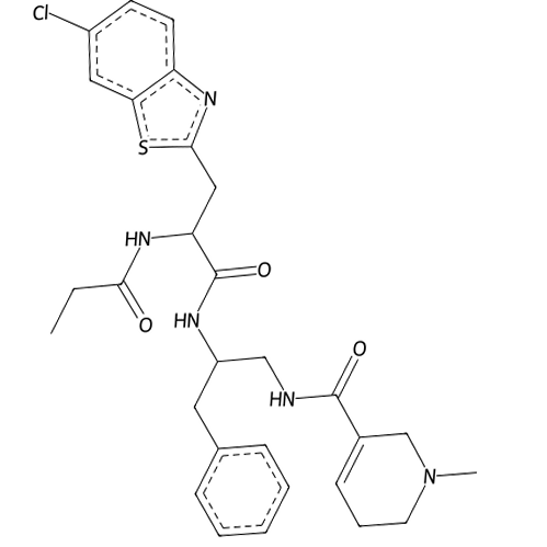 CCC(=O)NC(Cc1nc2ccc(Cl)cc2s1)C(=O)NC(CNC(=O)C1=CCCN(C)C1)Cc1ccccc1